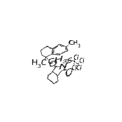 Cc1ccc2c(c1)CCCC2(C)C.O=C1C2CC=CCC2C(=O)N1SC(Cl)(Cl)C(Cl)Cl